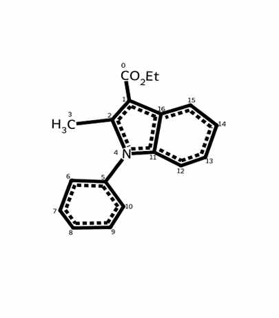 CCOC(=O)c1c(C)n(-c2ccccc2)c2ccccc12